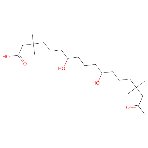 CC(=O)CC(C)(C)CCCC(O)CCCC(O)CCCC(C)(C)CC(=O)O